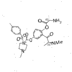 CN[C@@H](C)C(=O)c1cc(OC(=O)[N+]2(S(=O)(=O)c3ccc(C)cc3)CCN(C)CC2)ccc1OC(=O)[C@H](C)N